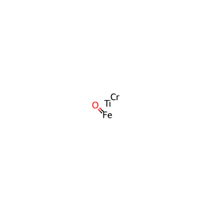 [Cr].[O]=[Fe].[Ti]